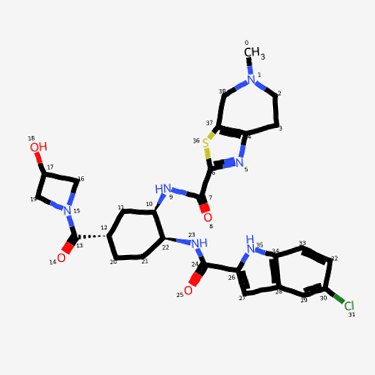 CN1CCc2nc(C(=O)N[C@@H]3C[C@@H](C(=O)N4CC(O)C4)CC[C@@H]3NC(=O)c3cc4cc(Cl)ccc4[nH]3)sc2C1